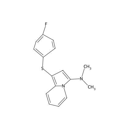 CN(C)c1cc(Sc2ccc(F)cc2)c2ccccn12